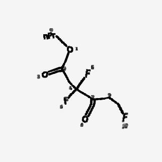 CCCOC(=O)C(F)(F)C(=O)CF